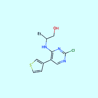 CCC(CO)Nc1nc(Cl)ncc1-c1ccsc1